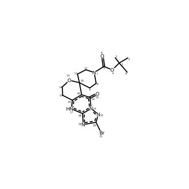 CC(C)(C)OC(=O)N1CCC2(CC1)OCCc1[nH]c3nc(Br)nn3c(=O)c12